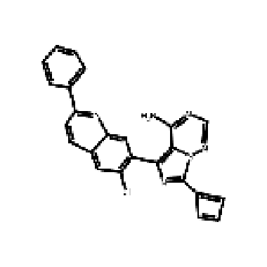 Nc1ncnn2c(C3=CC=C3)nc(-c3cc4nc(-c5ccccc5)ccc4cc3Cl)c12